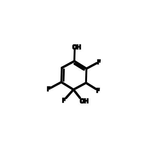 OC1=C(F)C(F)C(O)(F)C(F)=C1